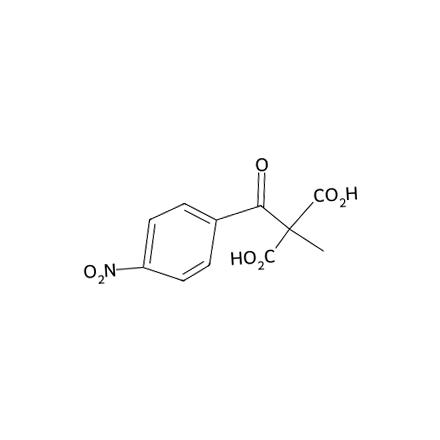 CC(C(=O)O)(C(=O)O)C(=O)c1ccc([N+](=O)[O-])cc1